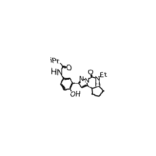 CCNC(=O)n1nc(-c2cc(NC(=O)C(C)C)ccc2O)cc1C1CCCC1